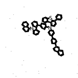 c1ccc(-c2ccc(N(c3ccc(-c4ccc(-c5ccc6ccccc6c5)cc4)cc3)c3ccc(-c4cccc5c4c4ccccc4n5-c4cccc5ccccc45)cc3)c3c2sc2ccccc23)cc1